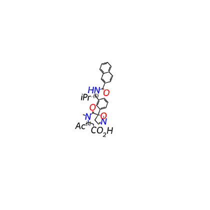 CC(=O)[C@H](CC(=O)O)N(C)C(=O)C1(c2cccc([C@@H](NC(=O)c3ccc4ccccc4c3)C(C)C)c2)CC=NO1